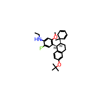 CCNc1cc(OC)c([C@@H]2c3ccc(OC(C)(C)C)cc3CC[C@@H]2C2(C)C=CC=CC2)cc1F